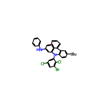 CC(C)(C)c1ccc(N(c2cccc(Nc3ccccc3)c2)c2cc(Cl)cc(Br)c2Cl)c(-c2ccccc2)c1